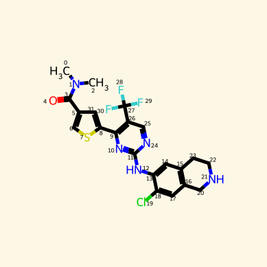 CN(C)C(=O)c1csc(-c2nc(Nc3cc4c(cc3Cl)CNCC4)ncc2C(F)(F)F)c1